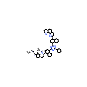 C=c1c2c(cc/c1=C/C=C\C)C=CC(c1ccc(-c3nc(-c4ccccc4)nc(-c4ccc(-c5ccc6ccc7cccnc7c6n5)c5ccccc45)n3)c3ccccc13)N2C